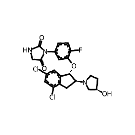 O=C1CNC(=O)N1c1ccc(F)c(O[C@H]2c3cc(Cl)cc(Cl)c3C[C@@H]2N2CC[C@@H](O)C2)c1